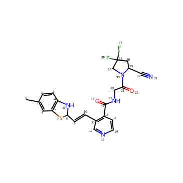 Cc1ccc2c(c1)SC(/C=C/c1cnccc1C(=O)NCC(=O)N1CC(F)(F)CC1C#N)N2